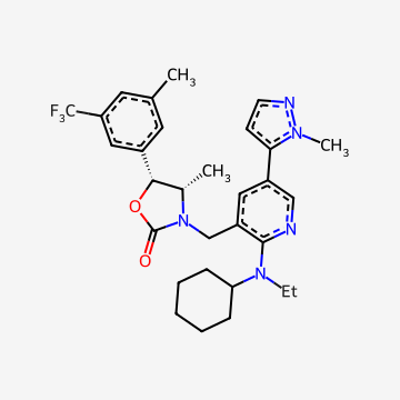 CCN(c1ncc(-c2ccnn2C)cc1CN1C(=O)O[C@H](c2cc(C)cc(C(F)(F)F)c2)[C@@H]1C)C1CCCCC1